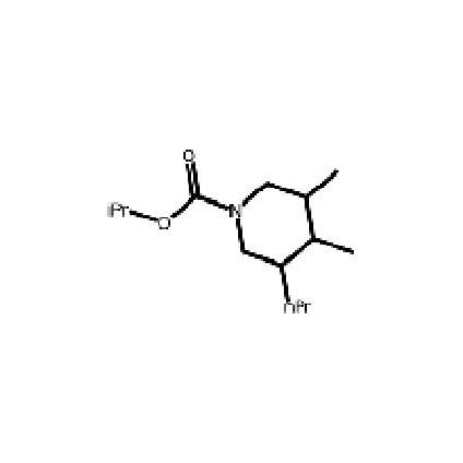 CCCC1CN(C(=O)OC(C)C)CC(C)C1C